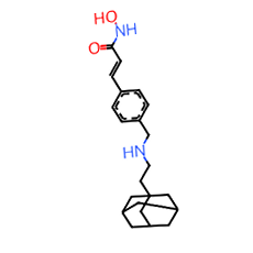 O=C(C=Cc1ccc(CNCCC23CC4CC(CC(C4)C2)C3)cc1)NO